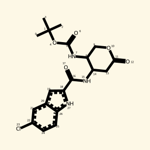 CC(C)(C)OC(=O)NC1COC(=O)CC1NC(=O)c1cc2cc(Cl)ccc2[nH]1